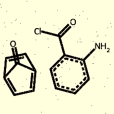 Nc1ccccc1C(=O)Cl.O=C1C2=CC=C1C=C2